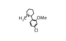 COc1cc(Cl)ccc1C1CCCCN1C